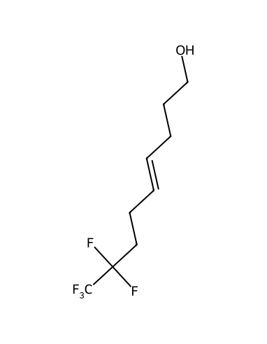 OCCCC=CCCC(F)(F)C(F)(F)F